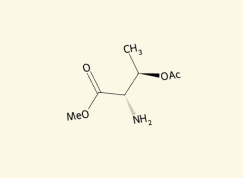 COC(=O)[C@@H](N)[C@@H](C)OC(C)=O